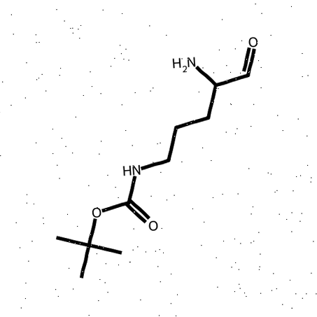 CC(C)(C)OC(=O)NCCCC(N)C=O